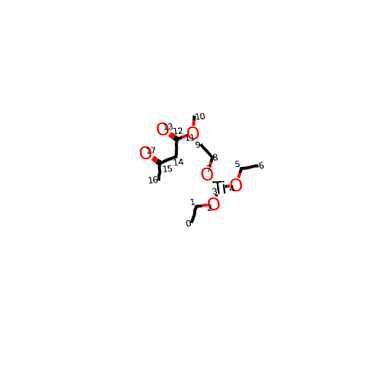 CC[O][Ti]([O]CC)[O]CC.COC(=O)CC(C)=O